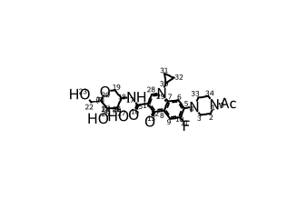 CC(=O)N1CCN(c2cc3c(cc2F)c(=O)c(C(=O)NC2CO[C@H](CO)[C@@H](O)[C@@H]2O)cn3C2CC2)CC1